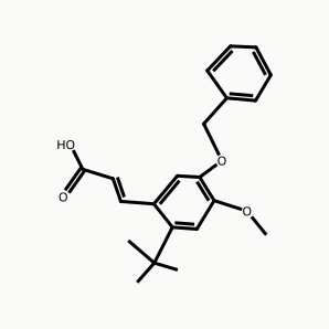 COc1cc(C(C)(C)C)c(C=CC(=O)O)cc1OCc1ccccc1